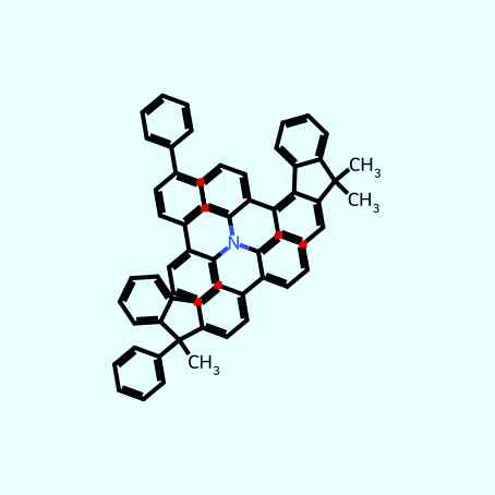 CC1(C)c2ccccc2-c2c(-c3ccccc3N(c3ccccc3-c3ccc(-c4ccccc4)cc3)c3ccccc3-c3ccc4c(c3)-c3ccccc3C4(C)c3ccccc3)cccc21